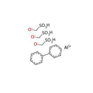 O=S(=O)(O)C[O-].O=S(=O)(O)C[O-].O=S(=O)(O)C[O-].[Al+3].c1ccc(-c2ccccc2)cc1